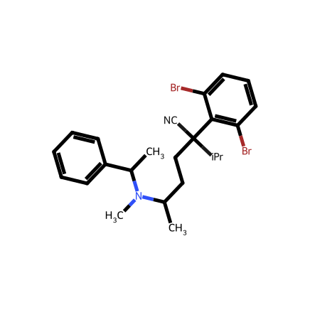 CC(CCC(C#N)(c1c(Br)cccc1Br)C(C)C)N(C)C(C)c1ccccc1